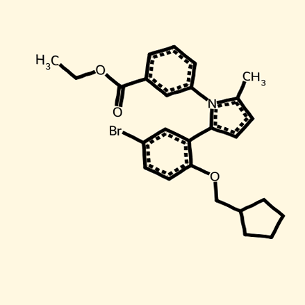 CCOC(=O)c1cccc(-n2c(C)ccc2-c2cc(Br)ccc2OCC2CCCC2)c1